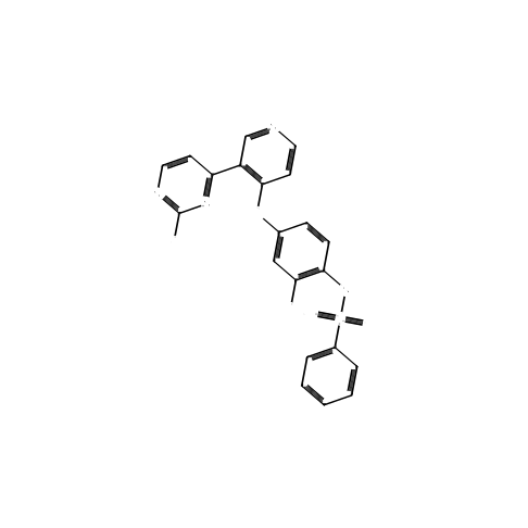 O=S(=O)(Nc1ccc(Oc2ccncc2-c2ccnc(Cl)n2)cc1C(F)(F)F)c1ccccc1